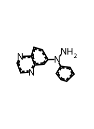 NN(c1ccccc1)c1ccc2nccnc2c1